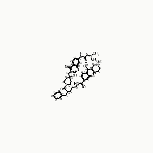 CC(=O)N1CCc2nc3cc(C(=O)NCCCC(Cc4ccccc4)C(=O)N4CCC(O)(Cn5cnc6cc(NC(=O)CN(C)C)ccc6c5=O)CC4)ccc3c(Cl)c2C1